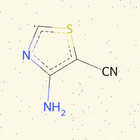 N#Cc1s[c]nc1N